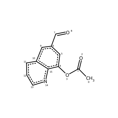 CC(=O)Oc1cc(C=O)cc2cccnc12